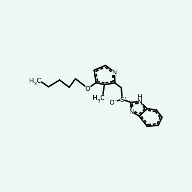 CCCCCOc1ccnc(C[S+]([O-])c2nc3ccccc3[nH]2)c1C